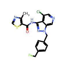 Cc1ncsc1C(=O)Nc1nn(Cc2ccc(CF)cc2)c2cncc(Cl)c12